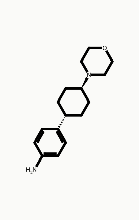 Nc1ccc([C@H]2CC[C@H](N3CCOCC3)CC2)cc1